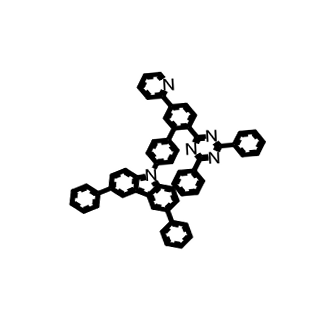 c1ccc(-c2ccc3c(c2)c2cc(-c4ccccc4)ccc2n3-c2ccc(-c3cc(-c4ccccn4)ccc3-c3nc(-c4ccccc4)nc(-c4ccccc4)n3)cc2)cc1